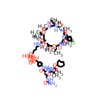 C/C=C(\C)[C@H]1OC(=O)[C@@H](C)NC(=O)C(C(C)CC)NC(=O)CN(C)C(=O)[C@@H](Cc2ccc(Cl)cc2)N(C)C(=O)[C@H](C)NC(=O)[C@@H](CC(C)C)OC(=O)/C(C)=C/C[C@H](OC(=O)NCCCCCOP(=O)(O)OP(=O)(O)OCc2ccc(NC(=O)[C@H](CCCNC(N)=O)NC(=O)[C@H](NC(=O)OC3CC/C=C/CCC3)C(C)C)cc2)[C@@H]1C